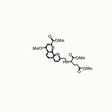 COC(=O)CCC(NCc1ccc2ccc3c(OC)cc(C(=O)OC)nc3c2n1)C(=O)OC